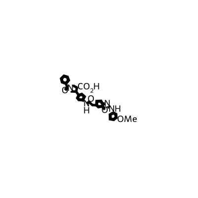 COc1cccc(Nc2nc3ccc(CC(=O)Nc4ccc(C5CN(C(=O)c6ccccc6)CC5C(=O)O)cc4)cc3o2)c1